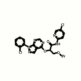 CC(C)OCC(Oc1ncnc2c1cnn2-c1ccccc1Cl)C(=O)Nc1ccc(Cl)cn1